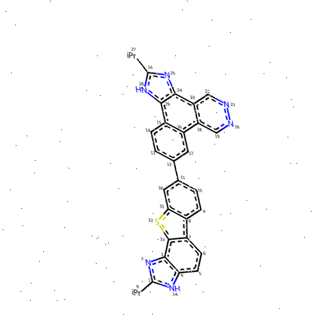 CC(C)c1nc2c(ccc3c4ccc(-c5ccc6c(c5)c5cnncc5c5nc(C(C)C)[nH]c65)cc4sc32)[nH]1